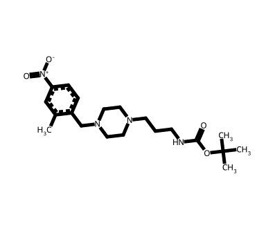 Cc1cc([N+](=O)[O-])ccc1CN1CCN(CCCNC(=O)OC(C)(C)C)CC1